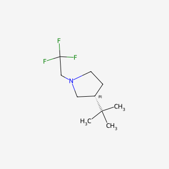 CC(C)(C)[C@H]1CCN(CC(F)(F)F)C1